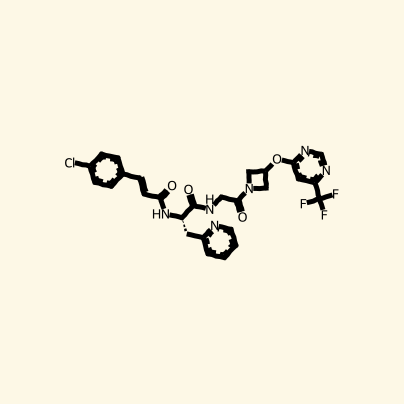 O=C(/C=C/c1ccc(Cl)cc1)N[C@@H](Cc1ccccn1)C(=O)NCC(=O)N1CC(Oc2cc(C(F)(F)F)ncn2)C1